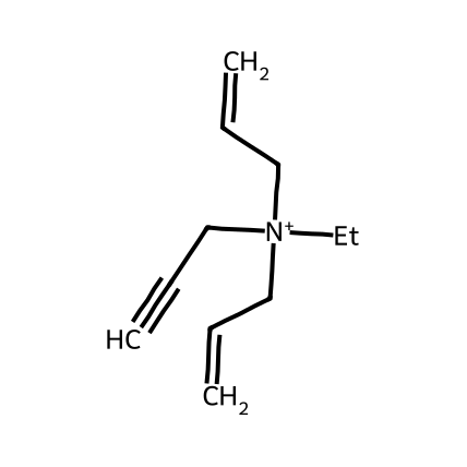 C#CC[N+](CC)(CC=C)CC=C